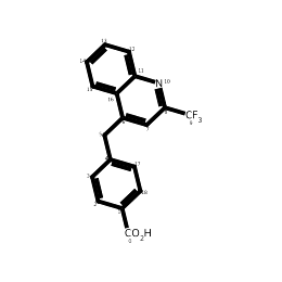 O=C(O)c1ccc(Cc2cc(C(F)(F)F)nc3ccccc23)cc1